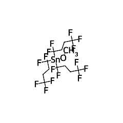 C[O][Sn]([C](F)(F)CCC(F)(F)F)([C](F)(F)CCC(F)(F)F)[C](F)(F)CCC(F)(F)F